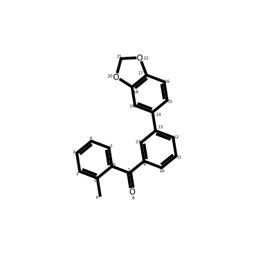 Cc1ccccc1C(=O)c1cccc(-c2ccc3c(c2)OCO3)c1